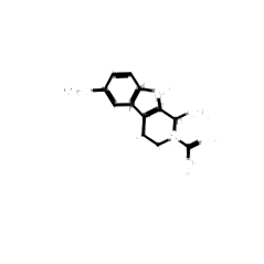 COc1ccc2[nH]c3c(c2c1)CCN(C(=O)C(F)(F)F)C3C